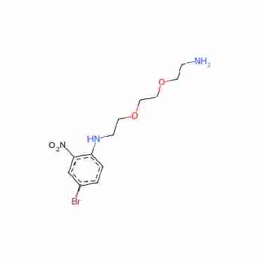 NCCOCCOCCNc1ccc(Br)cc1[N+](=O)[O-]